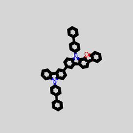 c1ccc(-c2ccc(-n3c4ccccc4c4cc(-c5ccc6c(c5)c5ccc7c8ccccc8oc7c5n6-c5ccc(-c6ccccc6)cc5)ccc43)cc2)cc1